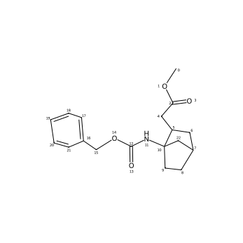 COC(=O)CC1CC2CCC1(NC(=O)OCc1ccccc1)C2